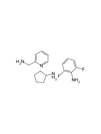 NC1CCCC1.NCc1ccccn1.Nc1c(F)cccc1F